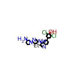 [CH2][CH]c1cnc2ccc(-c3cc(Cl)c(O)c(Cl)c3)cc2c1Nc1ccc(N2CCCC(N)C2)nc1